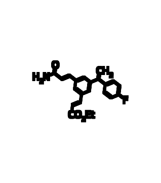 C=C(c1ccc(F)cc1)c1cc(/C=C/C(N)=O)cc(/C=C/C(=O)OCC)c1